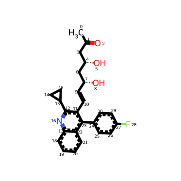 CC(=O)C[C@H](O)C[C@H](O)/C=C/c1c(C2CC2)nc2ccccc2c1-c1ccc(F)cc1